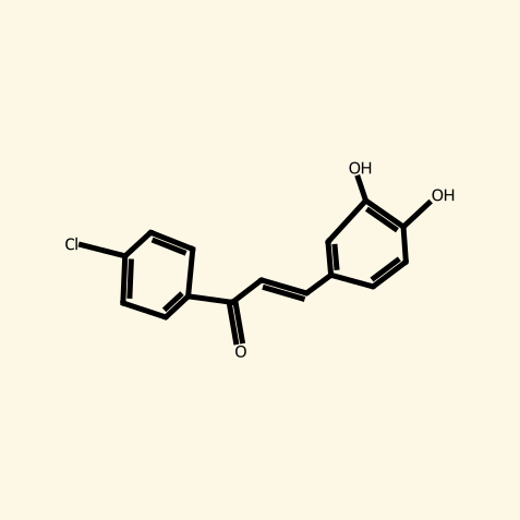 O=C(/C=C/c1ccc(O)c(O)c1)c1ccc(Cl)cc1